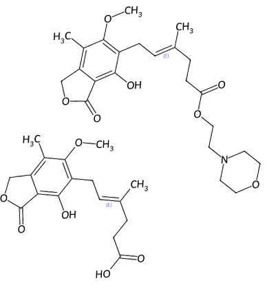 COc1c(C)c2c(c(O)c1C/C=C(\C)CCC(=O)O)C(=O)OC2.COc1c(C)c2c(c(O)c1C/C=C(\C)CCC(=O)OCCN1CCOCC1)C(=O)OC2